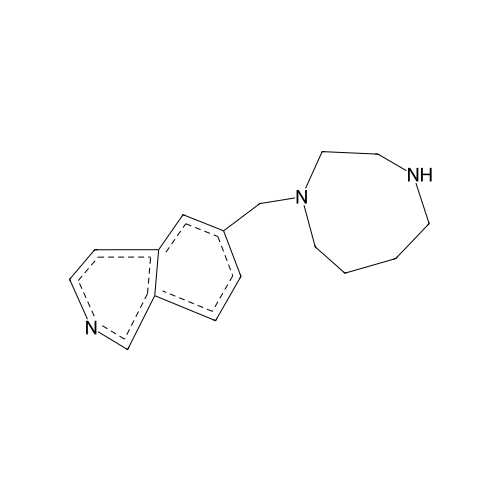 c1cc2cc(CN3CCCCNCC3)ccc2cn1